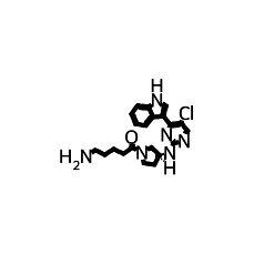 NCCCCC(=O)N1CC[C@@H](Nc2ncc(Cl)c(-c3c[nH]c4ccccc34)n2)C1